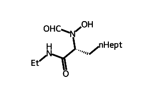 CCCCCCCC[C@H](C(=O)NCC)N(O)C=O